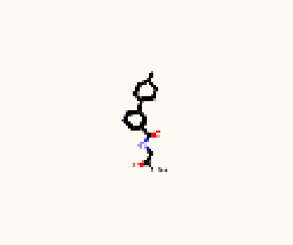 COC(=O)CNC(=O)c1cccc(C2=CCC(C)C=C2)c1